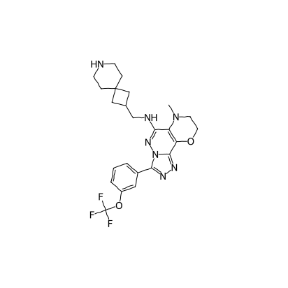 CN1CCOc2c1c(NCC1CC3(CCNCC3)C1)nn1c(-c3cccc(OC(F)(F)F)c3)nnc21